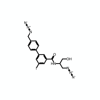 [N-]=[N+]=NCc1ccc(-c2cc(I)cc(C(=O)NC(CO)CN=[N+]=[N-])c2)cc1